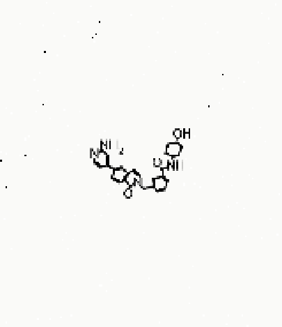 Nc1cc(-c2ccc3c(=O)n(Cc4cccc(C(=O)N[C@H]5CC[C@H](O)CC5)c4)ccc3c2)ccn1